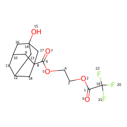 O=C(OCCOC(=O)C12CC3CC(CC(O)(C3)C1)C2)C(F)(F)F